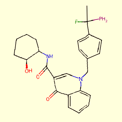 CC(F)(P)c1ccc(Cn2cc(C(=O)NC3CCCC[C@@H]3O)c(=O)c3ccccc32)cc1